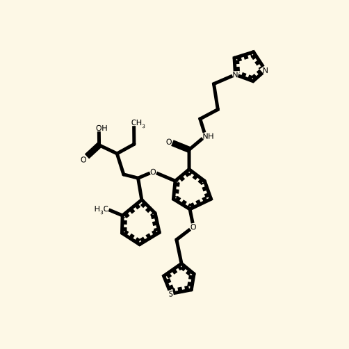 CCC(CC(Oc1cc(OCc2ccsc2)ccc1C(=O)NCCCn1ccnc1)c1ccccc1C)C(=O)O